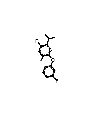 CC(C)c1nc(Oc2cccc(F)c2)c(F)cc1F